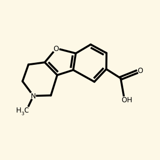 CN1CCc2oc3ccc(C(=O)O)cc3c2C1